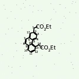 CCOC(=O)Cc1ccc2c(ccc3cccc(CC(=O)OCC)c32)c1